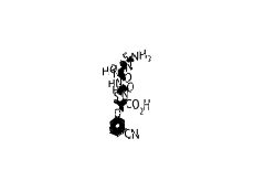 N#Cc1cccc(OCC2=C(C(=O)O)N3C(=O)C(NC(=O)C(=NO)c4csc(N)n4)[C@@H]3SC2)c1